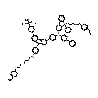 C=CC1=CC=C(OCCCCCCOc2ccc(-n3c4ccc(-c5ccc(N(c6ccc(-c7ccccc7)cc6)c6ccc7c(c6)C(CCCCOc6ccc(C=C)cc6)(c6ccccc6)c6ccccc6-7)cc5)cc4c4cc(-c5ccc(C(C)(C)C)cc5)ccc43)cc2)CC1